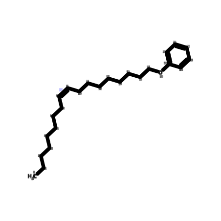 CCCCCCCC/C=C\CCCCCCCCOc1c[c]ccc1